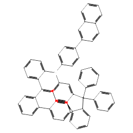 c1ccc(C2(c3ccccc3)c3ccccc3-c3ccc(N(c4ccc(-c5ccc6ccccc6c5)cc4)c4ccccc4-c4cc5ccccc5c5ccccc45)cc32)cc1